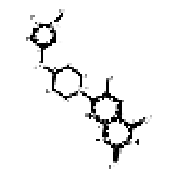 Cc1cc2c(=O)[nH]c(=O)[nH]c2nc1N1CCC(Oc2cnn(C)c2)CC1